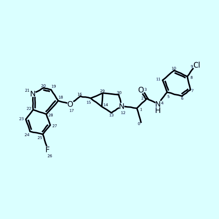 CC(C(=O)Nc1ccc(Cl)cc1)N1CC2C(COc3ccnc4ccc(F)cc34)C2C1